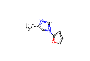 Cc1cn(-c2ccco2)[c]n1